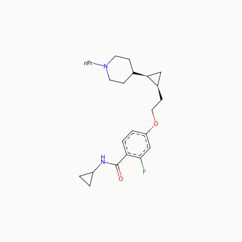 CCCN1CCC([C@H]2C[C@H]2CCOc2ccc(C(=O)NC3CC3)c(F)c2)CC1